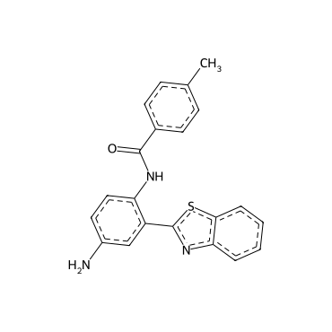 Cc1ccc(C(=O)Nc2ccc(N)cc2-c2nc3ccccc3s2)cc1